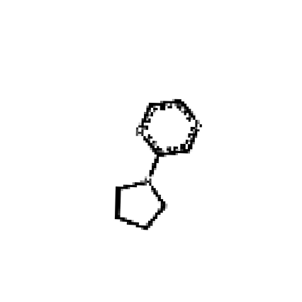 [c]1cncc(N2CCCC2)n1